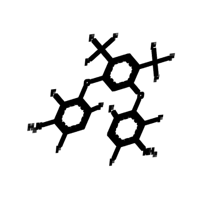 Nc1c(F)cc(F)c(Oc2cc(Oc3c(F)cc(F)c(N)c3F)c(C(F)(F)F)cc2C(F)(F)F)c1F